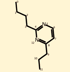 CCCCc1nccc(CCC)n1